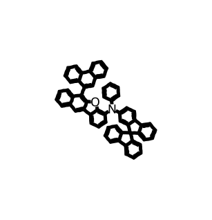 c1ccc(N(c2ccc3c(c2)C2(c4ccccc4-c4ccccc42)c2ccccc2-3)c2cccc3c2oc2c(-c4cc5ccccc5c5ccccc45)c4ccccc4cc23)cc1